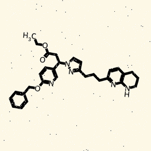 CCOC(=O)CC(c1ccc(OCc2ccccc2)nc1)n1ccc(CCCc2ccc3c(n2)NCCC3)n1